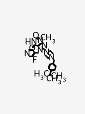 Cn1c(=O)[nH]c(=O)c2c1nc(N1CCN(Cc3ccc(C(C)(C)C)cc3)CC1)n2Cc1ccncc1F